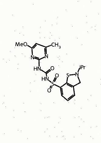 COc1cc(C)nc(NC(=O)NS(=O)(=O)c2cccc3c2SN(C(C)C)C3)n1